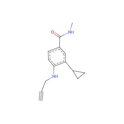 C#CCNc1ccc(C(=O)NC)cc1C1CC1